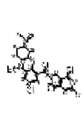 CCN(c1cc(Cl)cc(C(=O)NCc2c(Cl)cc(C)nc2Cl)c1C)[C@H]1CC[C@H](N(C)C)CC1